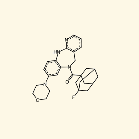 O=C(N1Cc2cccnc2Nc2ccc(N3CCOCC3)cc21)C12CC3CC(CC(F)(C3)C1)C2